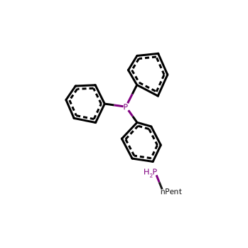 CCCCCP.c1ccc(P(c2ccccc2)c2ccccc2)cc1